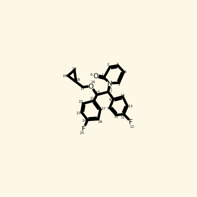 O=c1ccccn1C(c1ccc(F)cc1)C(OCC1CC1)c1ccc(F)cc1